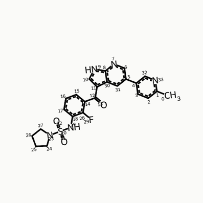 Cc1ccc(-c2cnc3[nH]cc(C(=O)c4cccc(NS(=O)(=O)N5CCCC5)c4F)c3c2)cn1